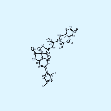 Cc1nc(C)c(-c2ccc3c(c2)CC(=O)[C@]32OCN(CC(=O)N(Cc3ccc(F)cc3)[C@@H](C)C(F)(F)F)C2=O)s1